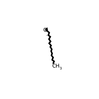 CCCCCCCCCCCCCCC[CH]CC1CO1